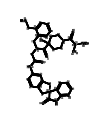 CCC1(C(=O)N(CC(=O)Nc2ccc3c(c2)C[C@@]2(C3)C(=O)Nc3ncccc32)Cc2ccccc2CNC)CCN(C(=O)[C@@H](C)NC)CC1